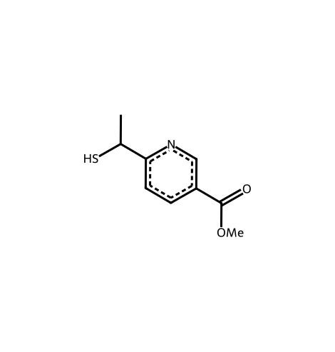 COC(=O)c1ccc(C(C)S)nc1